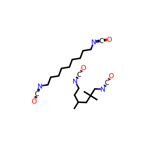 CC(CCN=C=O)CC(C)(C)CN=C=O.O=C=NCCCCCCCCCN=C=O